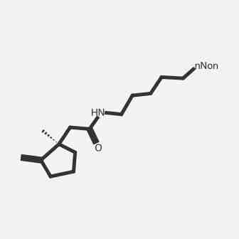 C=C1CCC[C@]1(C)CC(=O)NCCCCCCCCCCCCCC